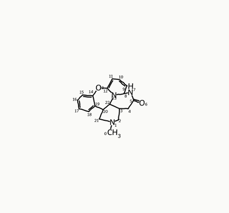 CN1CC2CC(=O)NC3C=CC=C4Oc5ccccc5C(C1)C2N43